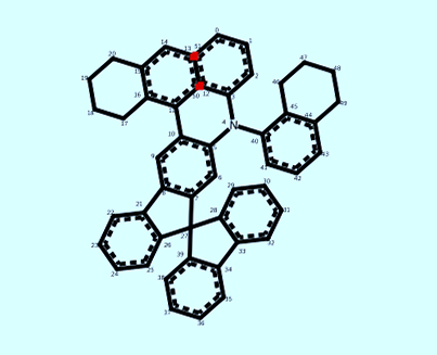 c1ccc(N(c2cc3c(cc2-c2cccc4c2CCCC4)-c2ccccc2C32c3ccccc3-c3ccccc32)c2cccc3c2CCCC3)cc1